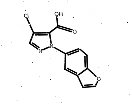 O=C(O)c1c(Cl)cnn1-c1ccc2occc2c1